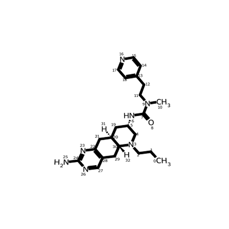 CCCN1C[C@@H](NC(=O)N(C)CCc2ccncc2)C[C@@H]2Cc3nc(N)ncc3C[C@H]21